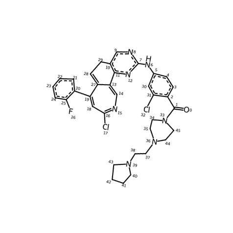 O=C(c1ccc(Nc2ncc3c(n2)C2=CN=C(Cl)C=C(c4ccccc4F)C2=CC3)cc1Cl)N1CCN(CCN2CCCC2)CC1